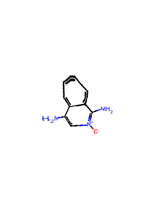 Nc1c[n+]([O-])c(N)c2ccccc12